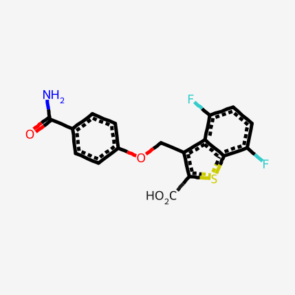 NC(=O)c1ccc(OCc2c(C(=O)O)sc3c(F)ccc(F)c23)cc1